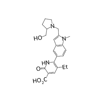 CCc1cc(C(=O)O)c(=O)[nH]c1-c1ccc2c(c1)cc(CN1CCCC1CO)n2C